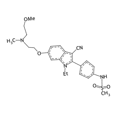 CCn1c(-c2ccc(NS(C)(=O)=O)cc2)c(C#N)c2ccc(OCCN(C)CCOC)cc21